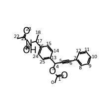 CC(=O)OC(C#Cc1ccccc1)c1ccc(C(C)N(O)C(C)=O)cc1